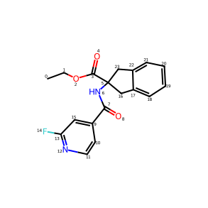 CCOC(=O)C1(NC(=O)c2ccnc(F)c2)Cc2ccccc2C1